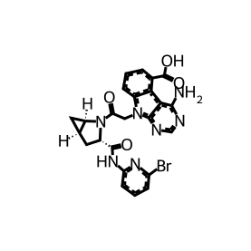 Nc1ncnc2c1c1c(C(=O)O)cccc1n2CC(=O)N1[C@@H]2C[C@@H]2C[C@H]1C(=O)Nc1cccc(Br)n1